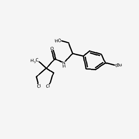 CC(CCl)(CCl)C(=O)NC(CO)c1ccc(C(C)(C)C)cc1